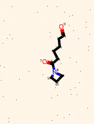 O=CCCCCC(=O)N1CCC1